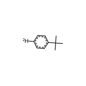 [2H]c1ccc(C(C)(C)C)cc1